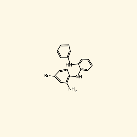 Nc1cc(Br)ccc1Nc1ccccc1Nc1ccccc1